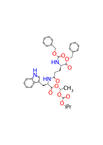 CC(C)OC(=O)OC(C)OC(=O)[C@@H](Cc1c[nH]c2ccccc12)NC(=O)CC[C@@H](NC(=O)OCc1ccccc1)C(=O)OCc1ccccc1